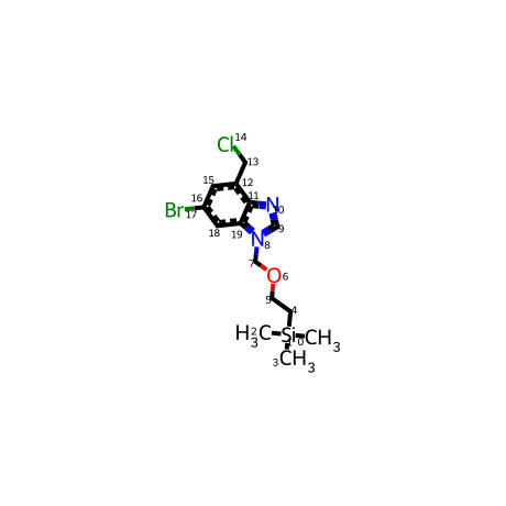 C[Si](C)(C)CCOCn1cnc2c(CCl)cc(Br)cc21